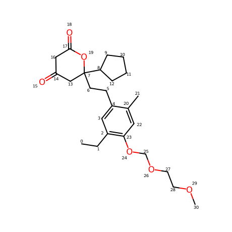 CCc1cc(CCC2(C3CCCC3)CC(=O)CC(=O)O2)c(C)cc1OCOCCOC